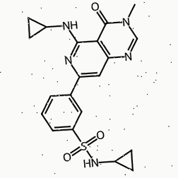 Cn1cnc2cc(-c3cccc(S(=O)(=O)NC4CC4)c3)nc(NC3CC3)c2c1=O